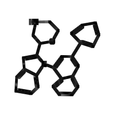 c1ccc(-c2cc(-n3c(C4CNCCO4)cc4ccccc43)c3ccccc3c2)cc1